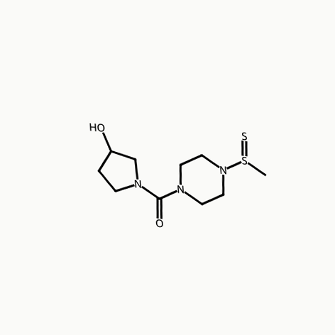 CS(=S)N1CCN(C(=O)N2CCC(O)C2)CC1